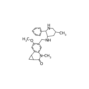 COc1cc2c(cc1CNC1CC(C)CNC1c1ccccc1)N(C)C(=O)C1CC21